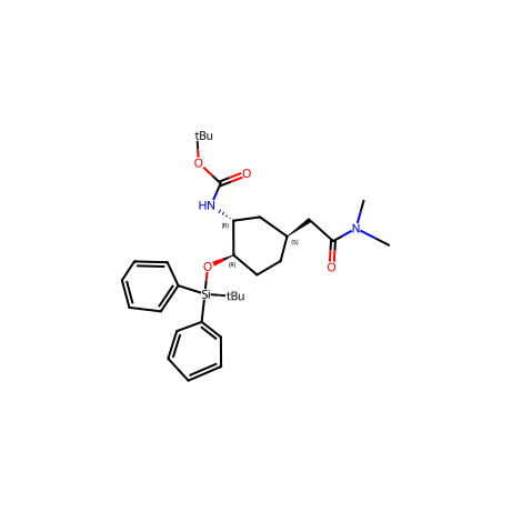 CN(C)C(=O)C[C@H]1CC[C@@H](O[Si](c2ccccc2)(c2ccccc2)C(C)(C)C)[C@H](NC(=O)OC(C)(C)C)C1